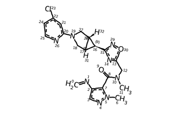 C=Nc1cnn(C)c1C(=O)N(C)Cc1nc([C@H]2[C@@H]3CN(c4cc(Cl)ccn4)C[C@@H]32)no1